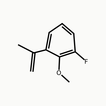 C=C(C)c1cccc(F)c1OC